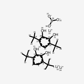 CC(C)(C)c1ccc(C(C)(C)C)c(O)c1O.CC(C)(C)c1ccc(C(C)(C)C)c(O)c1O.[Li+].[Li+].[Li+].[O-]B([O-])[O-]